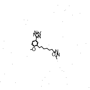 COc1ccc(-c2nnn(C)n2)cc1CCCCCCc1nnc(C)o1